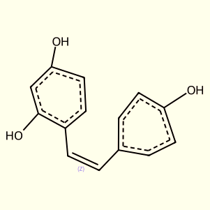 Oc1ccc(/C=C\c2ccc(O)cc2O)cc1